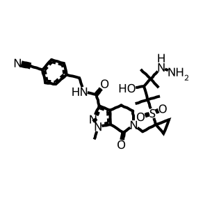 Cn1nc(C(=O)NCc2ccc(C#N)cc2)c2c1C(=O)N(CC1(S(=O)(=O)C(C)(C)C(O)C(C)(C)NN)CC1)CC2